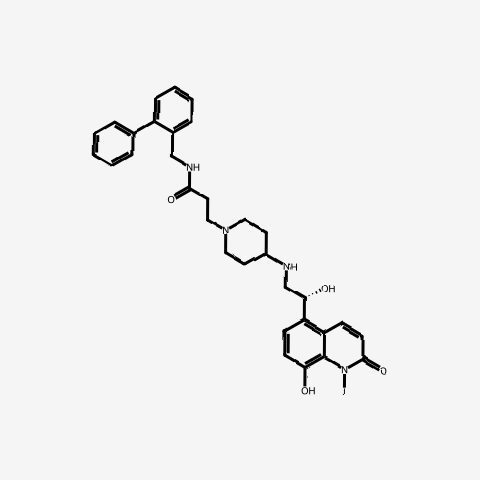 O=C(CCN1CCC(NC[C@H](O)c2ccc(O)c3c2ccc(=O)n3I)CC1)NCc1ccccc1-c1ccccc1